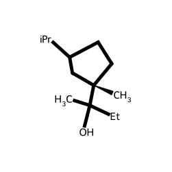 CCC(C)(O)[C@@]1(C)CCC(C(C)C)C1